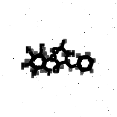 CC(=O)NC(Cc1ccccc1)C(=O)Oc1c(F)c(F)c(F)c(F)c1F